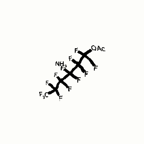 CC(=O)OC(F)(F)C(F)(F)C(F)(F)C(F)(F)C(F)(F)C(F)(F)F.N